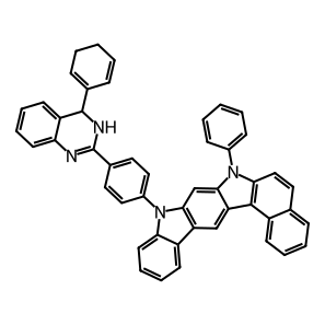 C1=CC(C2NC(c3ccc(-n4c5ccccc5c5cc6c7c8ccccc8ccc7n(-c7ccccc7)c6cc54)cc3)=Nc3ccccc32)=CCC1